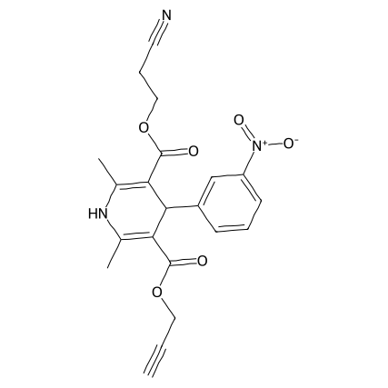 C#CCOC(=O)C1=C(C)NC(C)=C(C(=O)OCCC#N)C1c1cccc([N+](=O)[O-])c1